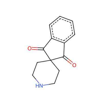 O=C1c2ccccc2C(=O)C12CCNCC2